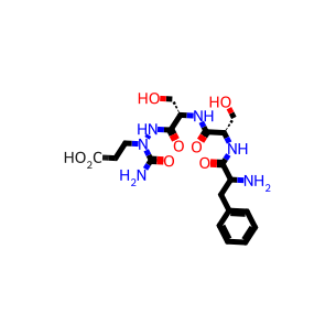 NC(=O)N(CCC(=O)O)NC(=O)[C@H](CO)NC(=O)[C@H](CO)NC(=O)C(N)Cc1ccccc1